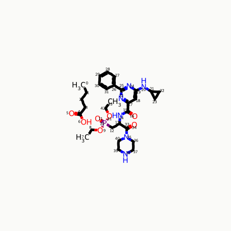 CCCCC(=O)O.CCOP(=O)(CC(NC(=O)c1cc(NC2CC2)nc(-c2ccccc2)n1)C(=O)N1CCNCC1)OCC